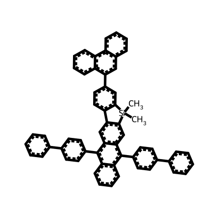 C[Si]1(C)c2cc(-c3cc4ccccc4c4ccccc34)ccc2-c2cc3c(-c4ccc(-c5ccccc5)cc4)c4ccccc4c(-c4ccc(-c5ccccc5)cc4)c3cc21